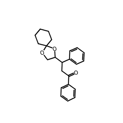 O=C(CC(c1ccccc1)C1COC2(CCCCC2)O1)c1ccccc1